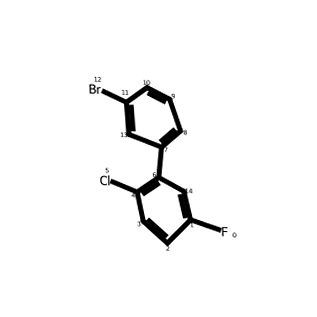 Fc1ccc(Cl)c(-c2cccc(Br)c2)c1